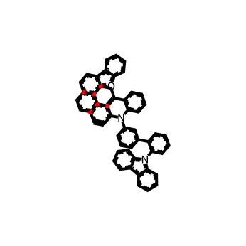 c1cc(-c2cccc3c2oc2ccccc23)cc(N(c2cccc(-c3ccccc3-n3c4ccccc4c4ccccc43)c2)c2ccccc2C2=Cc3ccccc3CC2)c#1